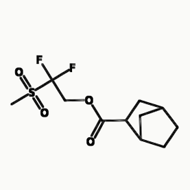 CS(=O)(=O)C(F)(F)COC(=O)C1CC2CCC1C2